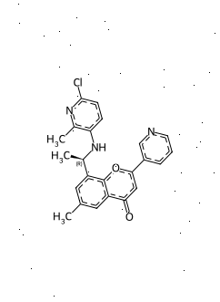 Cc1cc([C@@H](C)Nc2ccc(Cl)nc2C)c2oc(-c3cccnc3)cc(=O)c2c1